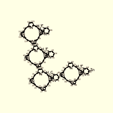 Cc1cccnc1-n1c2ccc1cc1nc(cc3ccc(cc4nc(c2)C=C4)[nH]3)C=C1.Cc1cccnc1-n1c2ccc1cc1nc(cc3ccc(cc4nc(c2)C=C4)[nH]3)C=C1.Cc1cccnc1-n1c2ccc1cc1nc(cc3ccc(cc4nc(c2)C=C4)[nH]3)C=C1.Cc1cccnc1-n1c2ccc1cc1nc(cc3ccc(cc4nc(c2)C=C4)[nH]3)C=C1.[Zn]